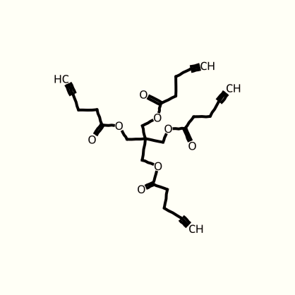 C#CCCC(=O)OCC(COC(=O)CCC#C)(COC(=O)CCC#C)COC(=O)CCC#C